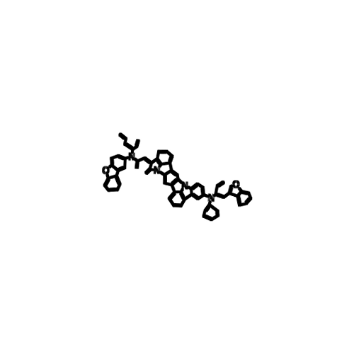 C=C/C=C(\C=C)N(C(=C)/C=c1\c(=C)n2c3cc4c5cccc6c7cc(N(/C(C=C)=C/c8coc9ccccc89)c8ccccc8)ccc7n(c4cc3c3cccc1c32)c65)c1ccc2oc3ccccc3c2c1